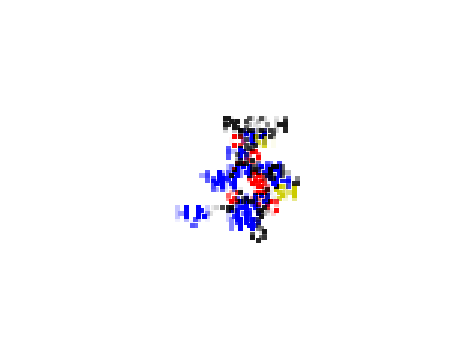 CC(C)C[C@H](NC(=O)[C@H](CS)NC(=O)[C@@H]1CCCN1C(=O)[C@H](Cc1ccccc1)NC(=O)[C@H](C)NC(=O)[C@H](CS)NC(=O)[C@H](Cc1c[nH]c2ccccc12)NC(=O)[C@H](CCCNC(=N)N)NC(=O)[C@@H](N)CCCCN)C(=O)O